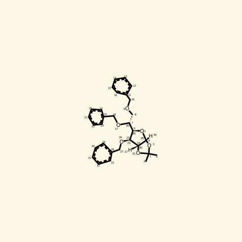 CC1(C)O[C@H]2O[C@H]([C@@H](COCc3ccccc3)OCc3ccccc3)[C@H](OCc3ccccc3)[C@H]2O1